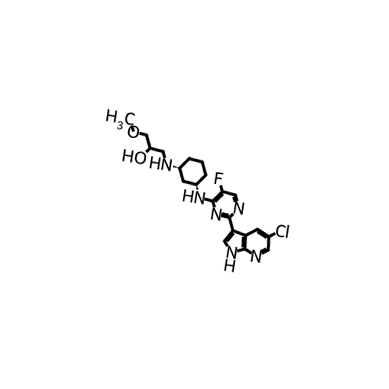 COCC(O)CN[C@@H]1CCC[C@H](Nc2nc(-c3c[nH]c4ncc(Cl)cc34)ncc2F)C1